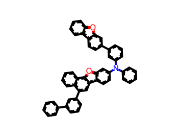 c1ccc(-c2cccc(-c3cc4c5ccc(N(c6ccccc6)c6cccc(-c7ccc8c(c7)oc7ccccc78)c6)cc5oc4c4ccccc34)c2)cc1